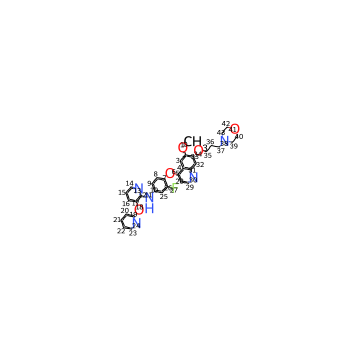 COc1cc2c(Oc3ccc(Nc4ncccc4Oc4ccccn4)cc3F)ccnc2cc1OCCCN1CCOCC1